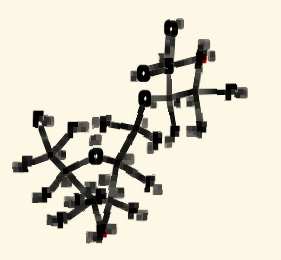 O=S(=O)(F)C(F)(OC(F)(F)C(F)(OC(F)(C(F)(F)F)C(F)(F)F)C(F)(F)F)C(F)(F)F